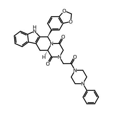 O=C(CN1CC(=O)N2[C@H](c3ccc4c(c3)OCO4)c3[nH]c4ccccc4c3C[C@@H]2C1=O)N1CCN(c2ccccc2)CC1